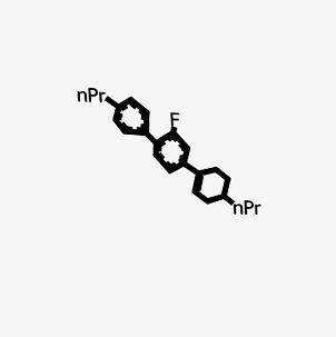 CCCc1ccc(-c2ccc(C3=CCC(CCC)CC3)cc2F)cc1